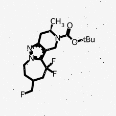 C[C@@H]1Cc2nn3c(c2CN1C(=O)OC(C)(C)C)C(F)(F)CC(CF)CC3